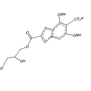 COc1cn2cc(C(=O)OCC(O)CO)[c]c2c(OC)c1C(=O)O